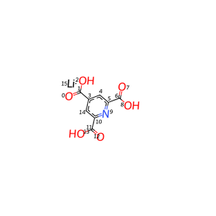 O=C(O)c1cc(C(=O)O)nc(C(=O)O)c1.[Li]